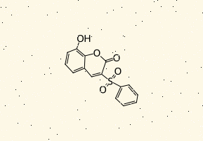 O=c1oc2c(O)cccc2cc1S(=O)(=O)c1ccccc1